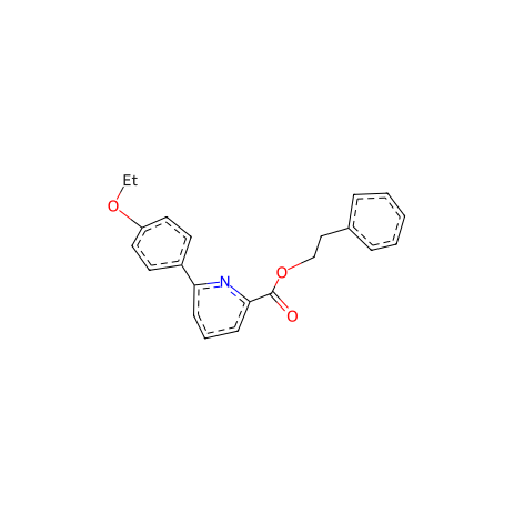 CCOc1ccc(-c2cccc(C(=O)OCCc3ccccc3)n2)cc1